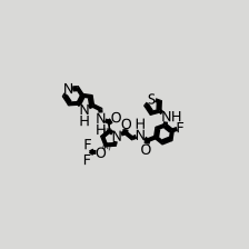 O=C(NCC(=O)N1C[C@H](OC(F)F)C[C@H]1C(=O)NCc1cc2cnccc2[nH]1)c1ccc(F)c(Nc2ccsc2)c1